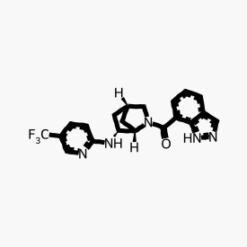 O=C(c1cccc2cn[nH]c12)N1C[C@H]2C[C@@H](Nc3ccc(C(F)(F)F)cn3)[C@@H]1C2